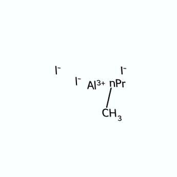 CCCC.[Al+3].[I-].[I-].[I-]